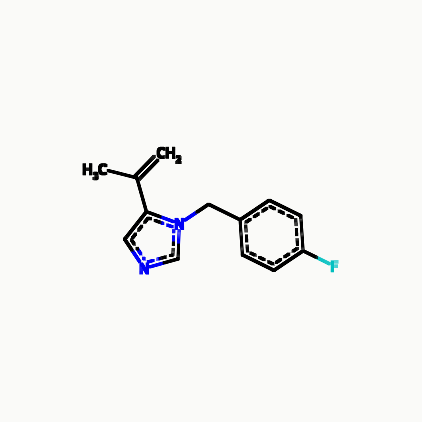 C=C(C)c1cncn1Cc1ccc(F)cc1